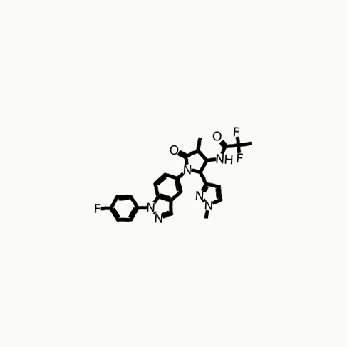 CC1C(=O)N(c2ccc3c(cnn3-c3ccc(F)cc3)c2)C(c2ccn(C)n2)C1NC(=O)C(C)(F)F